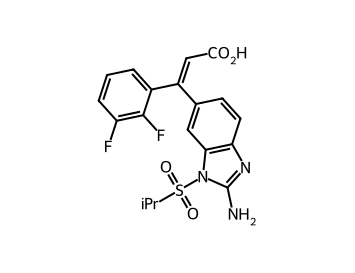 CC(C)S(=O)(=O)n1c(N)nc2ccc(/C(=C\C(=O)O)c3cccc(F)c3F)cc21